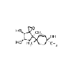 C[C@]1([C@]2(C)C=C[C@@](C)(O)CC2)C[C@@H](O)[C@@H](O)[C@@]12CO2